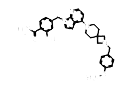 COc1ccc(CN2CC3(CCN(c4ccnc5c4ccn5Cc4ccc(C(N)=O)c(O)c4)CC3)C2)cc1